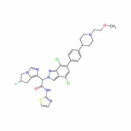 COCCN1CCC(c2ccc(-c3cc(Cl)c4cn(C(C(=O)Nc5nccs5)c5ncn6c5CC(F)C6)nc4c3Cl)cc2)CC1